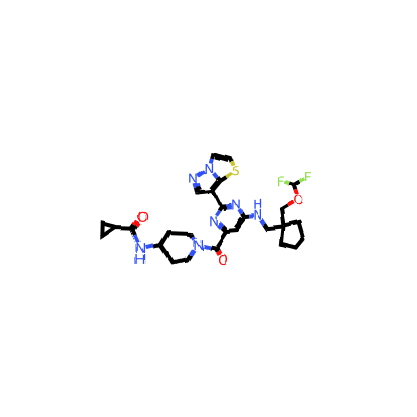 O=C(NC1CCN(C(=O)c2cc(NCC3(COC(F)F)CCCC3)nc(-c3cnn4ccsc34)n2)CC1)C1CC1